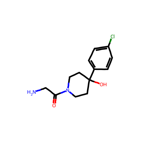 NCC(=O)N1CCC(O)(c2ccc(Cl)cc2)CC1